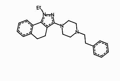 CCn1nc(N2CCN(CCc3ccccc3)CC2)c2c1-c1ccccc1CC2